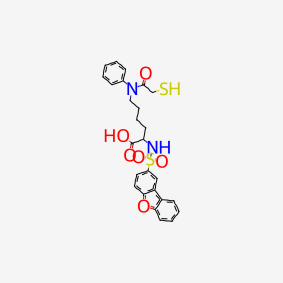 O=C(O)C(CCCCN(C(=O)CS)c1ccccc1)NS(=O)(=O)c1ccc2oc3ccccc3c2c1